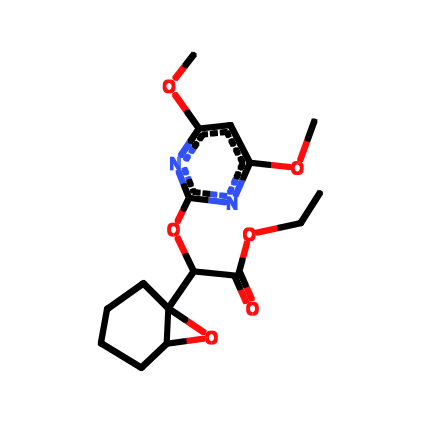 CCOC(=O)C(Oc1nc(OC)cc(OC)n1)C12CCCCC1O2